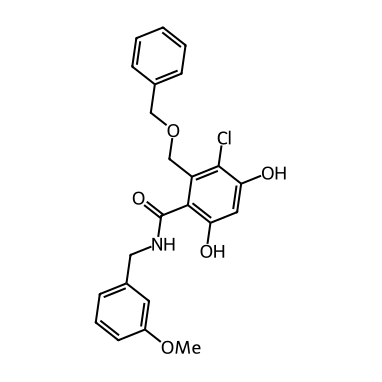 COc1cccc(CNC(=O)c2c(O)cc(O)c(Cl)c2COCc2ccccc2)c1